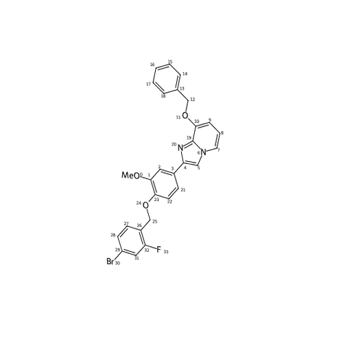 COc1cc(-c2cn3cccc(OCc4ccccc4)c3n2)ccc1OCc1ccc(Br)cc1F